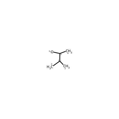 C[C](C)C(C)[O]